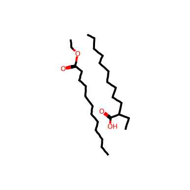 CCCCCCCCCCC(CC)C(=O)O.CCCCCCCCCCCC(=O)OCC